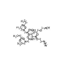 C#CCOCC1O[C@@H](OCCN=[N+]=[N-])C(NC(=O)C[C@@H](CC)OC(=O)CC)C(OC(=O)C[C@@H](CC)OC(=O)CC)[C@@H]1O